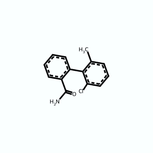 Cc1cccc(Cl)c1-c1ccccc1C(N)=O